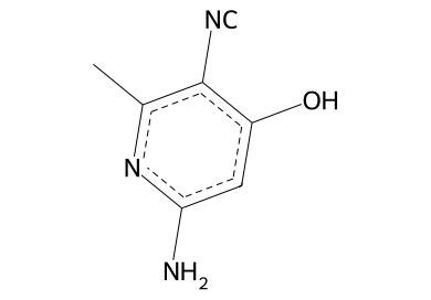 [C-]#[N+]c1c(O)cc(N)nc1C